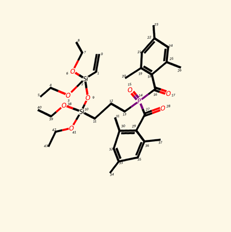 C=C[Si](OCC)(OCC)O[Si](CCCP(=O)(C(=O)c1c(C)cc(C)cc1C)C(=O)c1c(C)cc(C)cc1C)(OCC)OCC